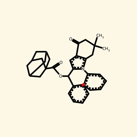 CC1(C)CC(=O)c2cc(C(OC(=O)C34CC5CC(CC(C5)C3)C4)c3ccccc3)n(-c3ccccc3)c2C1